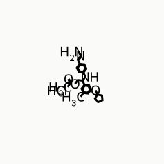 CC(=O)OCC(Nc1ccc(C=NN)cc1)c1cc(C)cc(OC2CCCC2)c1.Cl